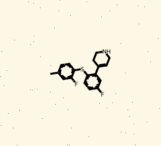 Cc1ccc(Sc2ccc(F)cc2C2=CCNCC2)c(F)c1